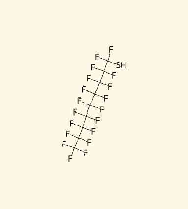 FC(F)(F)C(F)(F)C(F)(F)C(F)(F)C(F)(F)C(F)(F)C(F)(F)C(F)(F)C(F)(F)S